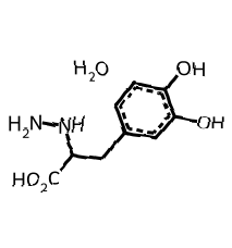 NNC(Cc1ccc(O)c(O)c1)C(=O)O.O